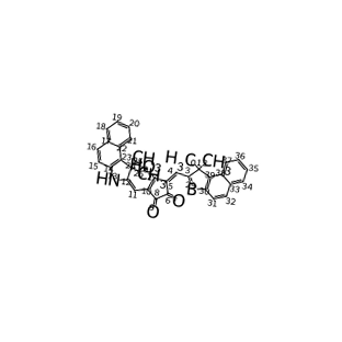 CC1(C)C(/C=C2\C(=O)C(=O)C(/C=C3/Nc4ccc5ccccc5c4C3(C)C)=C2O)=Bc2ccc3ccccc3c21